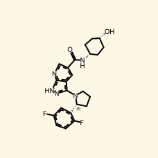 O=C(N[C@H]1CC[C@@H](O)CC1)c1cnc2[nH]nc(N3CCC[C@@H]3c3cc(F)ccc3F)c2c1